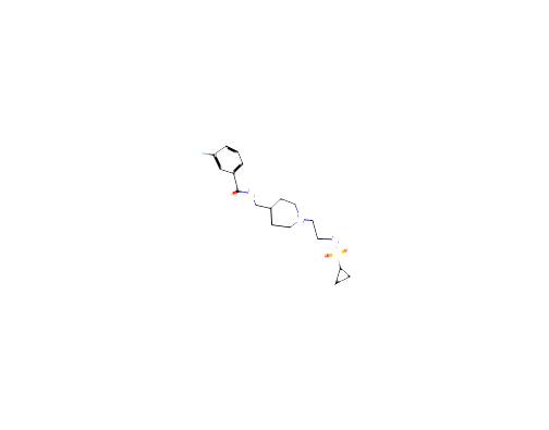 O=C(NCC1CCN(CCNS(=O)(=O)C2CC2)CC1)c1cccc(Cl)c1